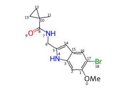 COc1cc2[nH]c(CNC(=O)C3(C)CC3)cc2cc1Br